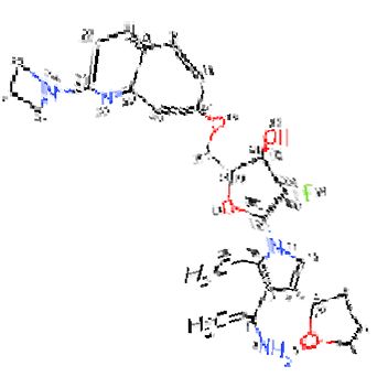 C=C(N)c1c([C@@H]2CCCO2)cn([C@@H]2O[C@H](COc3ccc4ccc(N5CCC5)nc4c3)[C@@H](O)[C@@H]2F)c1C